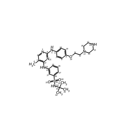 Cc1cnc(Nc2ccc(OCCN3CCNCC3)cc2)nc1Nc1cccc(S(=O)(=O)NC(C)(C)C)c1